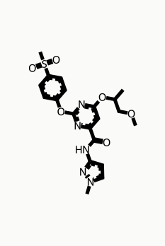 COCC(C)Oc1cc(C(=O)Nc2ccn(C)n2)nc(Oc2ccc(S(C)(=O)=O)cc2)n1